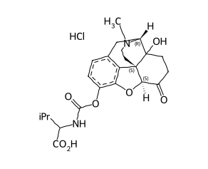 CC(C)C(NC(=O)Oc1ccc2c3c1O[C@@H]1C(=O)CCC4(O)[C@@H](C2)N(C)CC[C@]314)C(=O)O.Cl